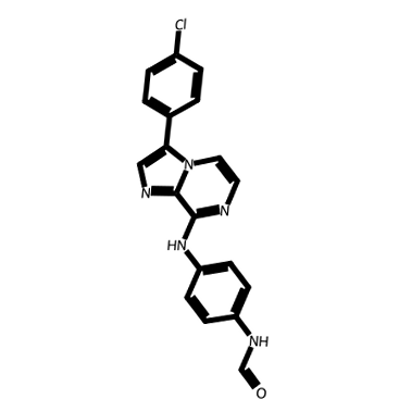 O=CNc1ccc(Nc2nccn3c(-c4ccc(Cl)cc4)cnc23)cc1